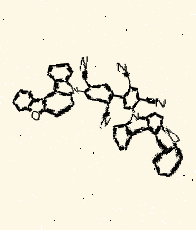 N#Cc1cc(-n2c3ccccc3c3c4c(ccc32)oc2ccccc24)c(C#N)cc1-c1cc(-n2c3ccccc3c3c4c(ccc32)oc2ccccc24)c(C#N)cc1C#N